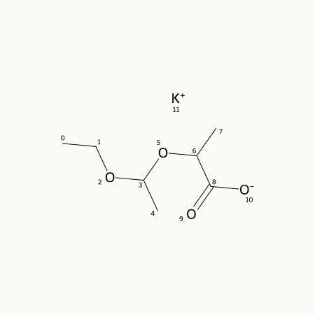 CCOC(C)OC(C)C(=O)[O-].[K+]